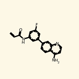 C=CC(=O)Nc1cc(F)cc(-c2ccc3c(N)ccnc3c2)c1